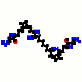 N=C(CCCCCCC(=N)NCSC1CCC1SCCNC(=O)CN)CC1CCC1SCCNC(=O)CN